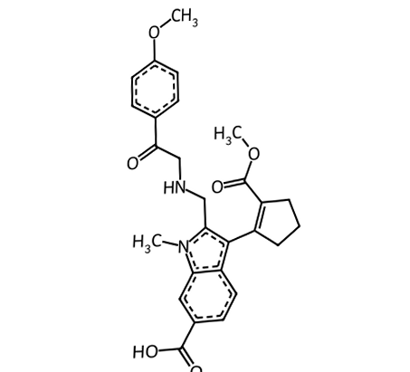 COC(=O)C1=C(c2c(CNCC(=O)c3ccc(OC)cc3)n(C)c3cc(C(=O)O)ccc23)CCC1